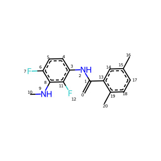 C=C(Nc1ccc(F)c(NC)c1F)c1cc(C)ccc1C